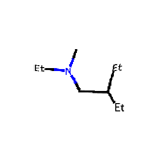 CCC(CC)CN(C)CC